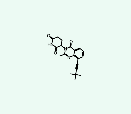 Cc1nc2c(C#CC(C)(C)C)cccc2c(=O)n1C1CCC(=O)NC1=O